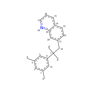 Cc1cc(C)cc(C(C)(C)Cc2ccc3cccnc3c2)c1